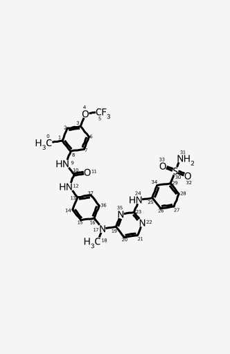 Cc1cc(OC(F)(F)F)ccc1NC(=O)Nc1ccc(N(C)c2ccnc(Nc3cccc(S(N)(=O)=O)c3)n2)cc1